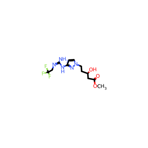 COC(=O)CC(O)CCn1ccc(N/C(N)=N\CC(F)(F)F)n1